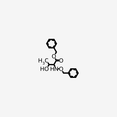 CC(O)C(NOCc1ccccc1)C(=O)OCc1ccccc1